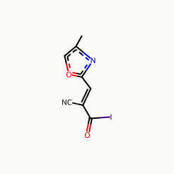 Cc1coc(/C=C(\C#N)C(=O)I)n1